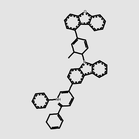 C=C(/C=C\C(=C/Nc1ccccc1)c1ccc2c(c1)c1ccccc1n2C1C=CC(c2cccc3oc4ccccc4c23)=CC1C)C1=CC=CCC1